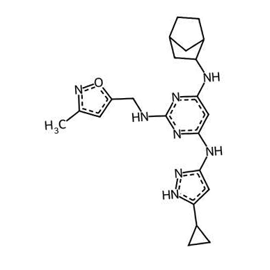 Cc1cc(CNc2nc(Nc3cc(C4CC4)[nH]n3)cc(NC3CC4CCC3C4)n2)on1